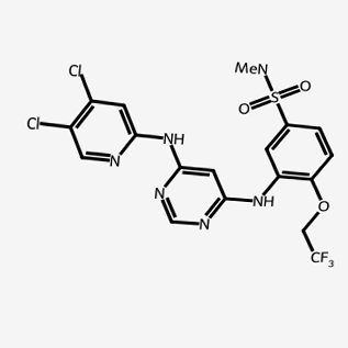 CNS(=O)(=O)c1ccc(OCC(F)(F)F)c(Nc2cc(Nc3cc(Cl)c(Cl)cn3)ncn2)c1